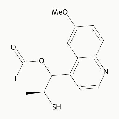 COc1ccc2nccc(C(OC(=O)I)[C@H](C)S)c2c1